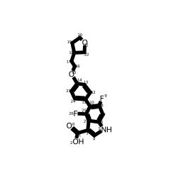 O=C(O)c1c[nH]c2cc(F)c(-c3ccc(OCCC4CCOC4)cc3)c(F)c12